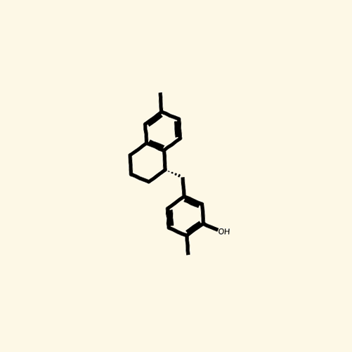 Cc1ccc2c(c1)CCC[C@H]2Cc1ccc(C)c(O)c1